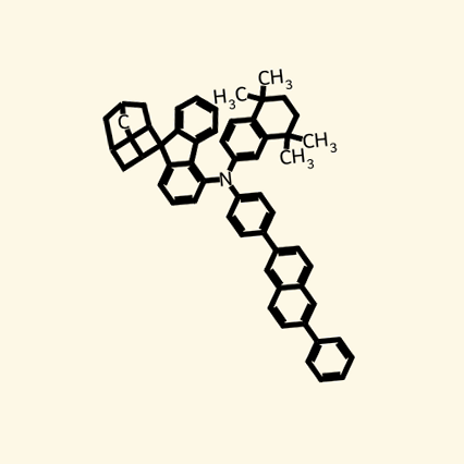 CC1(C)CCC(C)(C)c2cc(N(c3ccc(-c4ccc5cc(-c6ccccc6)ccc5c4)cc3)c3cccc4c3-c3ccccc3C43C4CC5CC6CC3C64C5)ccc21